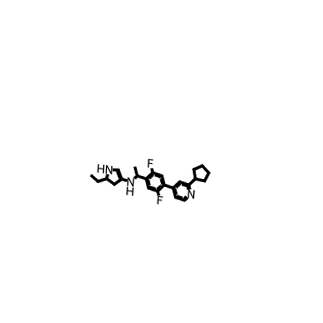 CCC1CC(NC(C)c2cc(F)c(-c3ccnc(C4CCCC4)c3)cc2F)=CN1